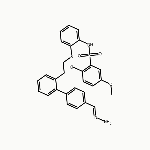 COc1ccc(Cl)c(S(=O)(=O)Nc2ccccc2SCCc2ccccc2-c2ccc(C=NN)cc2)c1